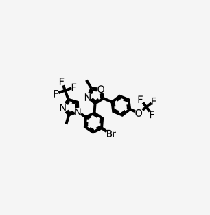 Cc1nc(-c2cc(Br)ccc2-n2cc(C(F)(F)F)nc2C)c(-c2ccc(OC(F)(F)F)cc2)o1